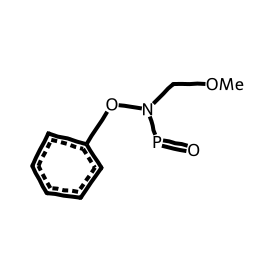 COCN(Oc1ccccc1)P=O